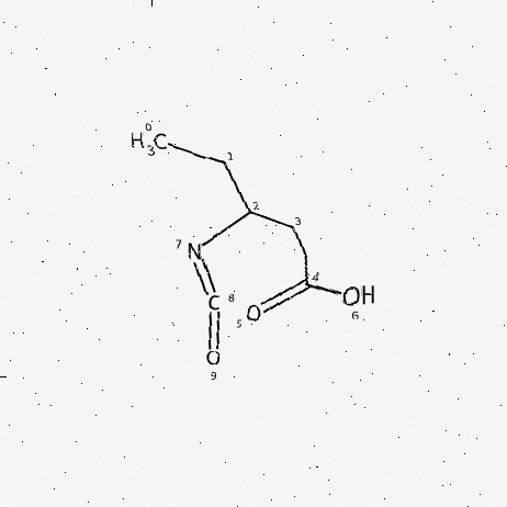 CCC(CC(=O)O)N=C=O